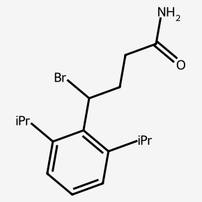 CC(C)c1cccc(C(C)C)c1C(Br)CCC(N)=O